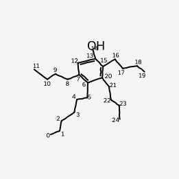 CCCCCCc1c(CCCC)cc(O)c(CCCC)c1CCCC